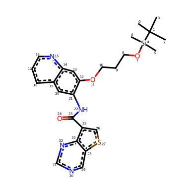 CC(C)(C)[Si](C)(C)OCCCOc1cc2ncccc2cc1NC(=O)c1csc2cncnc12